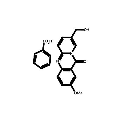 COc1ccc2nc3ccc(CO)cn3c(=O)c2c1.O=C(O)c1ccccc1